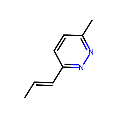 CC=Cc1ccc(C)nn1